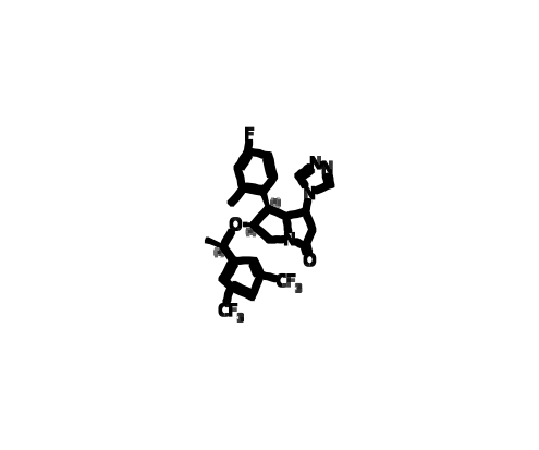 Cc1cc(F)ccc1[C@H]1C2C(n3cnnc3)CC(=O)N2C[C@@H]1O[C@H](C)c1cc(C(F)(F)F)cc(C(F)(F)F)c1